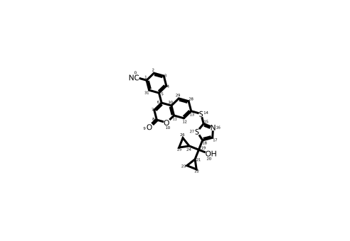 N#Cc1cccc(-c2cc(=O)oc3cc(Sc4ncc(C(O)(C5CC5)C5CC5)s4)ccc23)c1